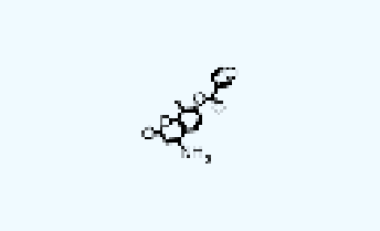 Cc1c(OC(=O)c2ccoc2)ccc2c(N)cc(=O)oc12